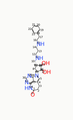 O=C1CCc2cn([C@@H]3C[C@H](CNCCCNCCc4ccccc4)[C@@H](O)[C@H]3O)c3ncnc(c23)N1